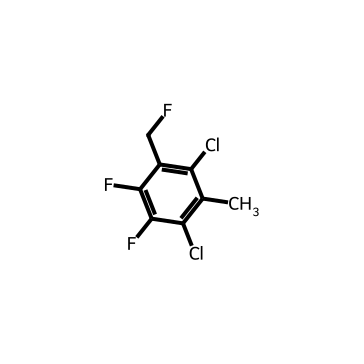 Cc1c(Cl)c(F)c(F)c(CF)c1Cl